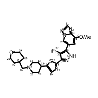 COc1cc(-c2[nH]nc(-c3ncc(C4CCN(CC5CCOCC5)CC4)s3)c2C(C)C)cn2ncnc12